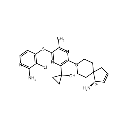 Cc1nc(N2CCC3(CC=C[C@H]3N)CC2)c(C2(O)CC2)nc1Sc1ccnc(N)c1Cl